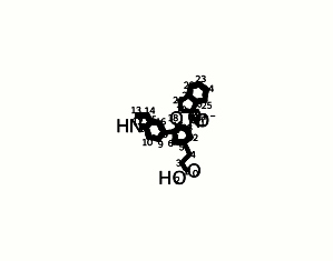 O=C(O)CCc1cc(-c2ccc3[nH]ccc3c2)c(OC2Cc3ccccc3C2)c([N+](=O)[O-])c1